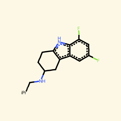 CC(C)CNC1CCc2[nH]c3c(F)cc(F)cc3c2C1